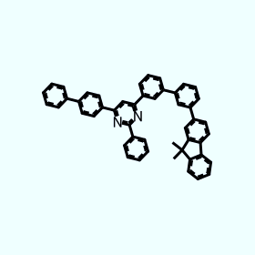 CC1(C)c2ccccc2-c2ccc(-c3cccc(-c4cccc(-c5cc(-c6ccc(-c7ccccc7)cc6)nc(-c6ccccc6)n5)c4)c3)cc21